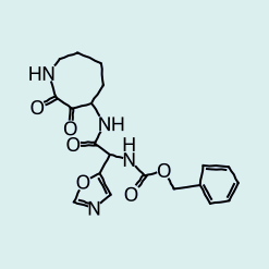 O=C(NC(C(=O)NC1CCCCNC(=O)C1=O)c1cnco1)OCc1ccccc1